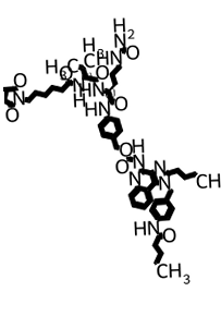 CCCCC(=O)Nc1ccc(Cn2c(CCCC)nc3c(NC(=O)OCc4ccc(NC(=O)[C@H](CCCNC(N)=O)NC(=O)[C@@H](NC(=O)CCCCCN5C(=O)C=CC5=O)C(C)C)cc4)nc4ccccc4c32)cc1